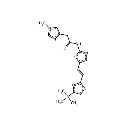 Cn1cnc(CC(=O)Nc2ncc(/C=C/c3ncc([Si](C)(C)C)o3)s2)c1